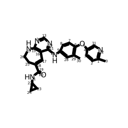 Cc1ccc(Oc2ccc(Nc3ncnc4c3C=C(C(=O)NC3CC3)CCN4)cc2C)cn1